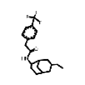 CCC1CC2CCC(NC(=O)Cc3ccc(C(F)(F)F)cc3)C(C1)C2